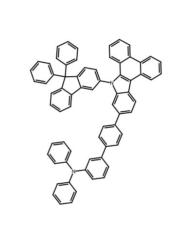 c1ccc(N(c2ccccc2)c2cccc(-c3ccc(-c4ccc5c6c7ccccc7c7ccccc7c6n(-c6ccc7c(c6)-c6ccccc6C7(c6ccccc6)c6ccccc6)c5c4)cc3)c2)cc1